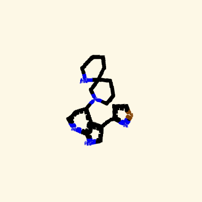 c1cc(N2CCCC3(CCCCN3)C2)c2c(-c3ccsn3)c[nH]c2n1